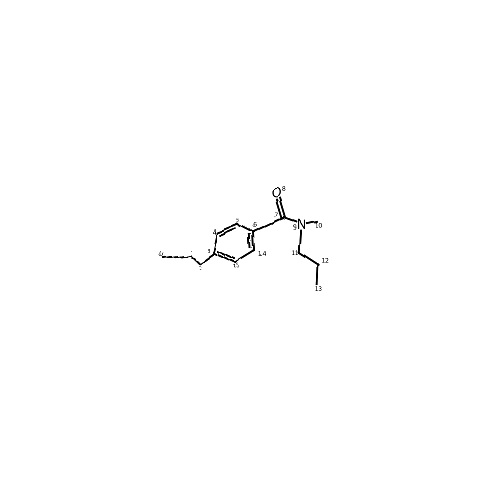 CCCc1ccc(C(=O)N(C)CCC)cc1